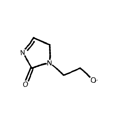 [O]CCN1CC=NC1=O